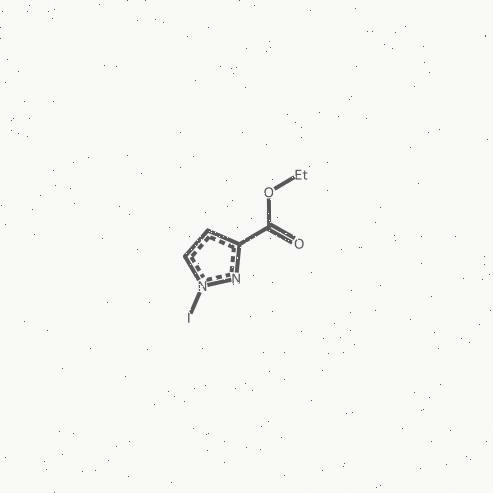 CCOC(=O)c1ccn(I)n1